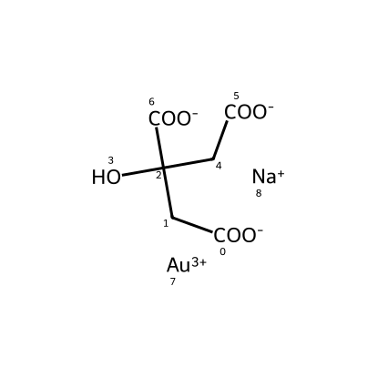 O=C([O-])CC(O)(CC(=O)[O-])C(=O)[O-].[Au+3].[Na+]